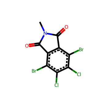 CN1C(=O)c2c(Br)c(Cl)c(Cl)c(Br)c2C1=O